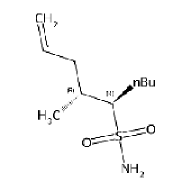 C=CC[C@@H](C)[C@@H](CCCC)S(N)(=O)=O